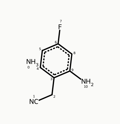 N.N#CCc1ccc(F)cc1N